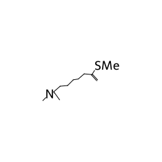 C=C(CCCCC/C(C)=N/C)SC